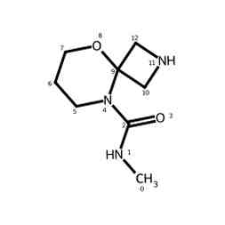 CNC(=O)N1CCCOC12CNC2